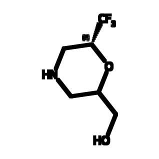 OCC1CNC[C@H](C(F)(F)F)O1